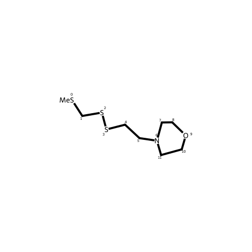 CSCSSCCN1CCOCC1